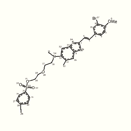 COc1ccc(/C=C/c2nc3cc(C)c(N(C)CCOCCOS(=O)(=O)c4ccc(C)cc4)cc3s2)cc1Br